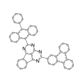 c1ccc(-c2c3ccccc3c(-c3nc4c5c(nc(-c6ccc7c8ccccc8c8ccccc8c7c6)nc5n3)-c3ccccc3-4)c3ccccc23)cc1